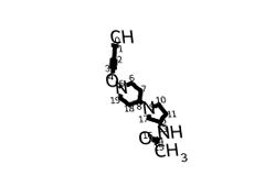 C#CC#CON1CCC(N2CCC(NC(C)=O)C2)CC1